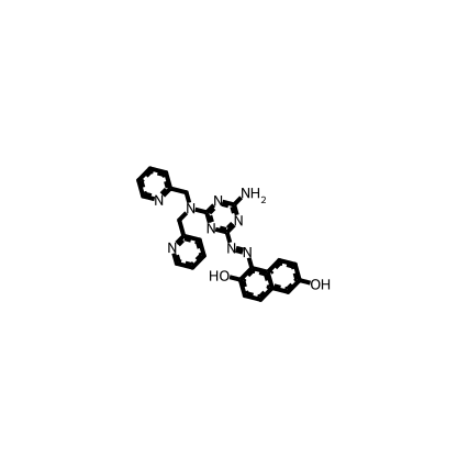 Nc1nc(/N=N/c2c(O)ccc3cc(O)ccc23)nc(N(Cc2ccccn2)Cc2ccccn2)n1